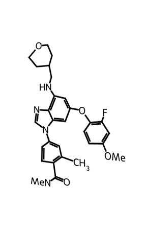 CNC(=O)c1ccc(-n2cnc3c(NCC4CCOCC4)cc(Oc4ccc(OC)cc4F)cc32)cc1C